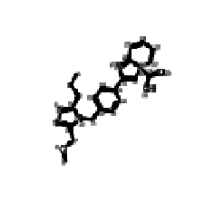 CCCc1nnc(COC)n1Cc1ccc(C2=C[N+]3(C(=O)O)C=CC=CC3=N2)cc1